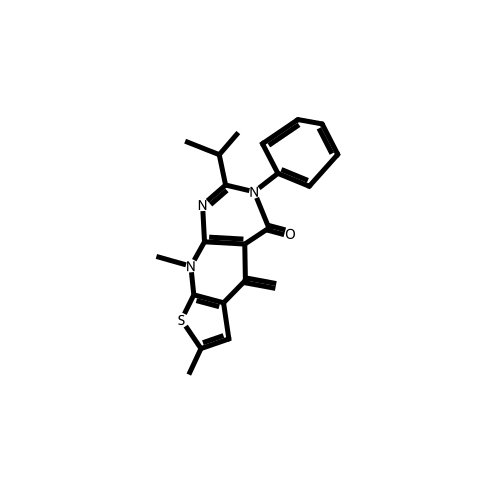 C=C1c2cc(C)sc2N(C)c2nc(C(C)C)n(-c3ccccc3)c(=O)c21